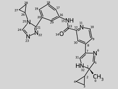 C[C@]1(C2CC2)C=NC(c2ccnc(C(=O)Nc3cccc(-c4nncn4C4CC4)c3)c2)=CN1